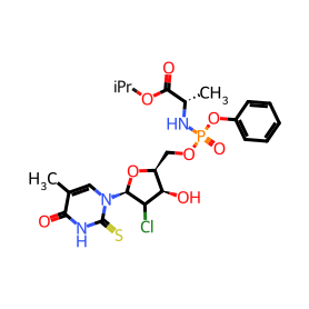 Cc1cn([C@H]2O[C@@H](COP(=O)(N[C@@H](C)C(=O)OC(C)C)Oc3ccccc3)[C@@H](O)C2Cl)c(=S)[nH]c1=O